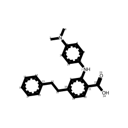 CN(C)c1ccc(Nc2cc(CCc3ccccc3)ccc2C(=O)O)cc1